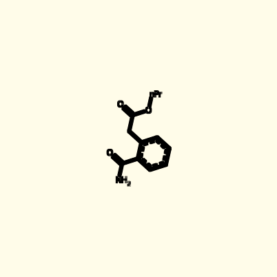 CCCOC(=O)Cc1ccccc1C(N)=O